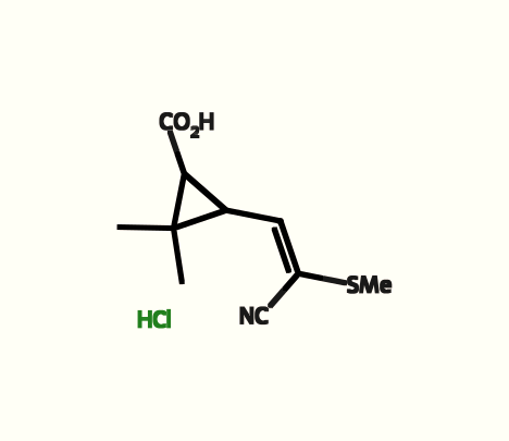 CSC(C#N)=CC1C(C(=O)O)C1(C)C.Cl